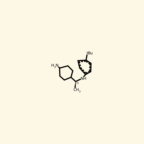 C[C@H](Nc1ccc(C(C)(C)C)cc1)C1CCC(N)CC1